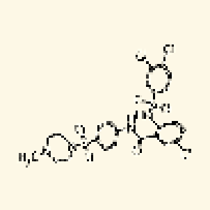 CN1CCN(S(=O)(=O)c2ccc(NC(=O)c3cc(Cl)ccc3NS(=O)(=O)c3ccc(Cl)c(Cl)c3)cc2)CC1